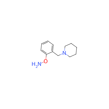 NOc1ccccc1CN1CCCCC1